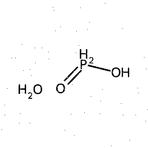 O.O=[PH2]O